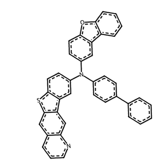 c1ccc(-c2ccc(N(c3ccc4oc5ccccc5c4c3)c3ccc4sc5cc6cccnc6cc5c4c3)cc2)cc1